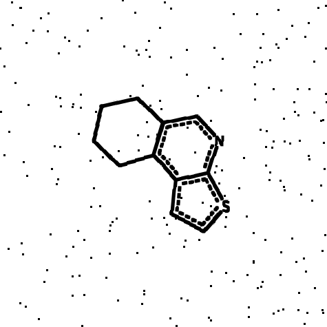 c1cc2c3c(cnc2s1)CCCC3